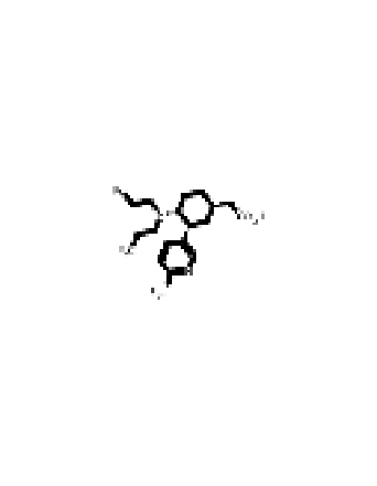 CC(C)CCN(CCC(F)(F)F)[C@@H]1CC[C@@H](CC(=O)O)C[C@H]1c1ccc(C(F)(F)F)nc1